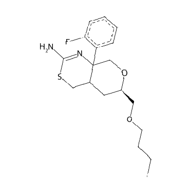 CCCCOC[C@H]1CC2CSC(N)=NC2(c2ccccc2F)CO1